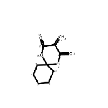 C=C1C(=O)OC2(CCCCC2)OC1=O